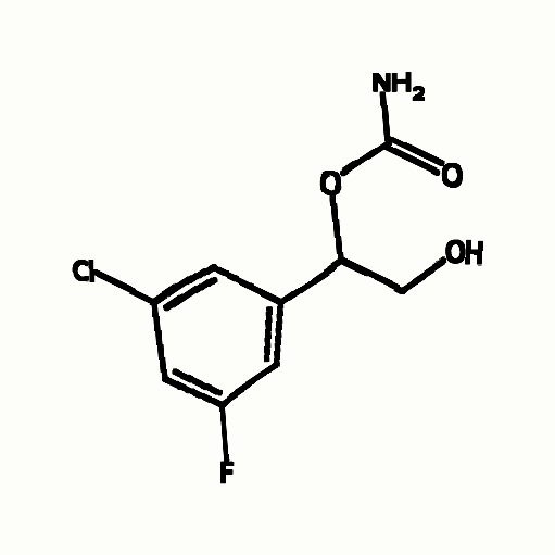 NC(=O)OC(CO)c1cc(F)cc(Cl)c1